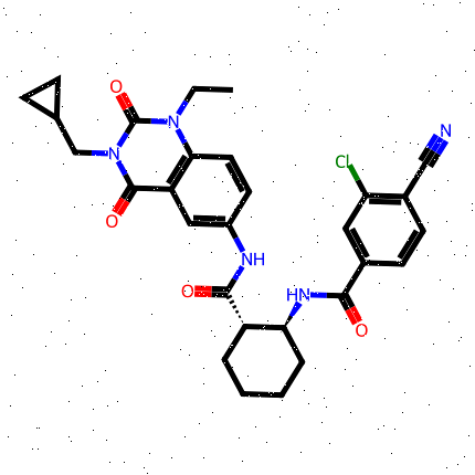 CCn1c(=O)n(CC2CC2)c(=O)c2cc(NC(=O)[C@H]3CCCC[C@@H]3NC(=O)c3ccc(C#N)c(Cl)c3)ccc21